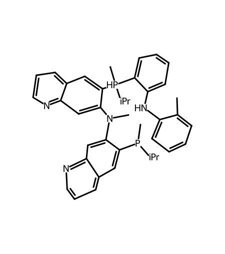 Cc1ccccc1Nc1ccccc1[PH](C)(c1cc2cccnc2cc1N(C)c1cc2ncccc2cc1P(C)C(C)C)C(C)C